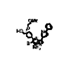 COCCOC[C@]1(CO)CC[C@@H](c2nc3c(-c4ccc(-c5ccccc5)nc4)cnn3c(N)c2Br)CC1